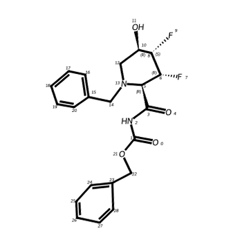 O=C(NC(=O)[C@@H]1[C@@H](F)[C@@H](F)[C@H](O)CN1Cc1ccccc1)OCc1ccccc1